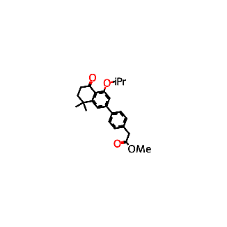 COC(=O)Cc1ccc(-c2cc(OC(C)C)c3c(c2)C(C)(C)CCC3=O)cc1